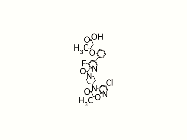 CC1Oc2ncc(Cl)cc2N(C2CCN(C(=O)c3ncc(-c4ccccc4O[C@H](C)CC(=O)O)cc3F)CC2)C1=O